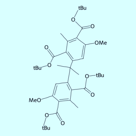 COc1cc(C(C)(C)c2cc(OC)c(C(=O)OC(C)(C)C)c(C)c2C(=O)OC(C)(C)C)c(C(=O)OC(C)(C)C)c(C)c1C(=O)OC(C)(C)C